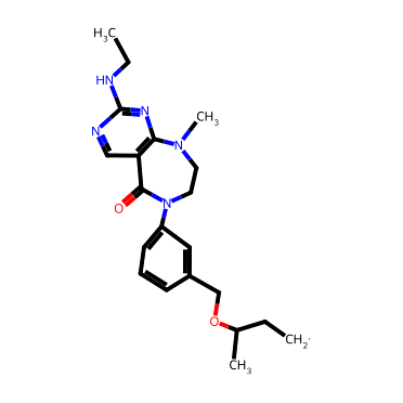 [CH2]CC(C)OCc1cccc(N2CCN(C)c3nc(NCC)ncc3C2=O)c1